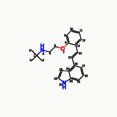 CC(C)(C)NCCOc1ccccc1/C=C/c1cccc2[nH]ccc12